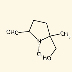 CC1(CO)CCC(C=O)N1Cl